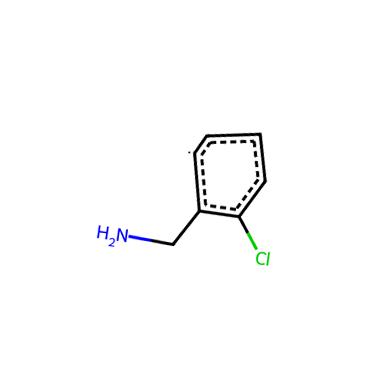 NCc1[c]cccc1Cl